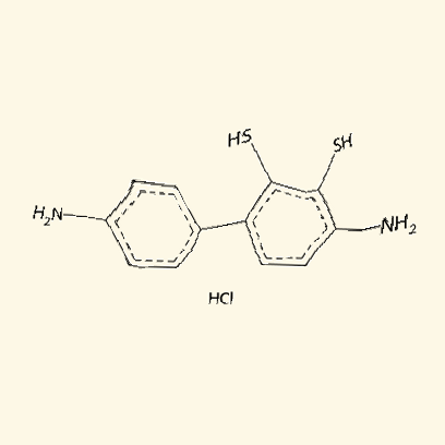 Cl.Nc1ccc(-c2ccc(N)c(S)c2S)cc1